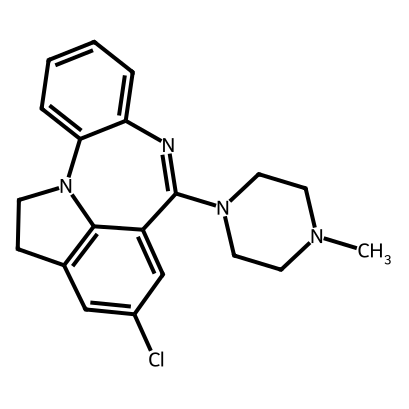 CN1CCN(C2=Nc3ccccc3N3CCc4cc(Cl)cc2c43)CC1